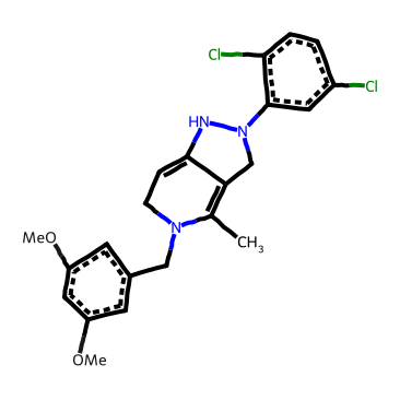 COc1cc(CN2CC=C3NN(c4cc(Cl)ccc4Cl)CC3=C2C)cc(OC)c1